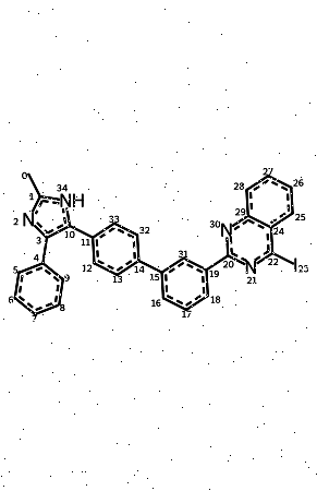 Cc1nc(-c2ccccc2)c(-c2ccc(-c3cccc(-c4nc(I)c5ccccc5n4)c3)cc2)[nH]1